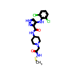 CSNC(=O)CN1CCC(NC(=O)c2n[nH]cc2Nc2c(Cl)cccc2Cl)CC1